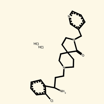 Cl.Cl.NC(CCN1CCC2(CC1)CCN(Cc1cccnc1)C2=O)c1ccccc1Cl